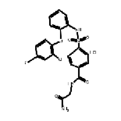 Cl.NC(=O)CNC(=O)c1ccc(S(=O)(=O)Nc2ccccc2Oc2ccc(Cl)cc2Cl)cc1